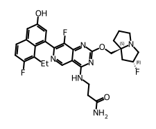 CCc1c(F)ccc2cc(O)cc(-c3ncc4c(NCCC(N)=O)nc(OC[C@@]56CCCN5C[C@H](F)C6)nc4c3F)c12